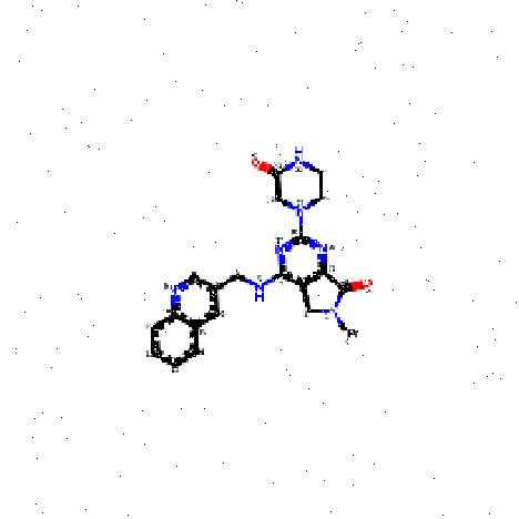 CC(C)N1Cc2c(NCc3cnc4ccccc4c3)nc(N3CCNC(=O)C3)nc2C1=O